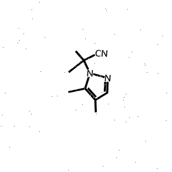 Cc1cnn(C(C)(C)C#N)c1C